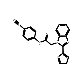 [C-]#[N+]c1ccc(NC(=O)Cn2c(C3=CCC=N3)nc3ccccc32)cc1